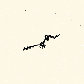 CCCCCC=Cc1ccc(C#Cc2ccc(OCCCCCCCCCC)c(F)c2F)cc1